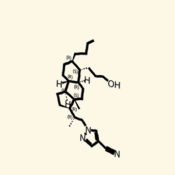 CCCC[C@@H]1CC[C@@H]2[C@H](CC[C@]3(C)[C@@H]([C@@H](C)Cn4cc(C#N)cn4)CC[C@@H]23)[C@H]1CCCO